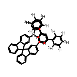 [2H]c1c([2H])c([2H])c(-c2nc(-c3ccc4c(c3)C3(c5ccccc5-4)c4ccccc4-c4ccc(-n5c6ccccc6c6ccccc65)cc43)nc(-c3c([2H])c([2H])c([2H])c([2H])c3[2H])n2)c([2H])c1[2H]